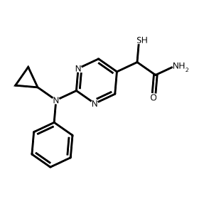 NC(=O)C(S)c1cnc(N(c2ccccc2)C2CC2)nc1